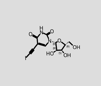 O=c1[nH]c(=O)n([C@@H]2O[C@H](CO)[C@@H](O)[C@H]2O)cc1C#CI